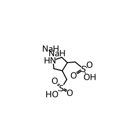 O=S(=O)(O)CC1CNCC1CS(=O)(=O)O.[NaH].[NaH]